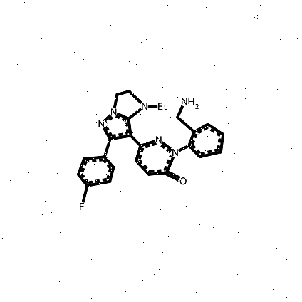 CCN1CCn2nc(-c3ccc(F)cc3)c(-c3ccc(=O)n(-c4ccccc4CN)n3)c21